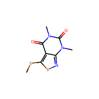 CSc1snc2c1c(=O)n(C)c(=O)n2C